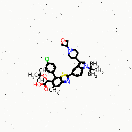 BC(B)(B)n1cc(C2CCN(C3COC3)CC2)c2cc(-c3nc4cc(C)c([C@H](OC(C)(C)C)C(=O)O)c(-c5ccc(Cl)cc5)c4s3)ccc21